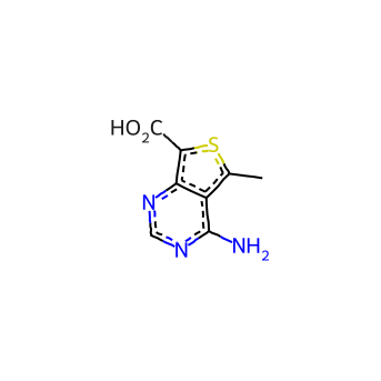 Cc1sc(C(=O)O)c2ncnc(N)c12